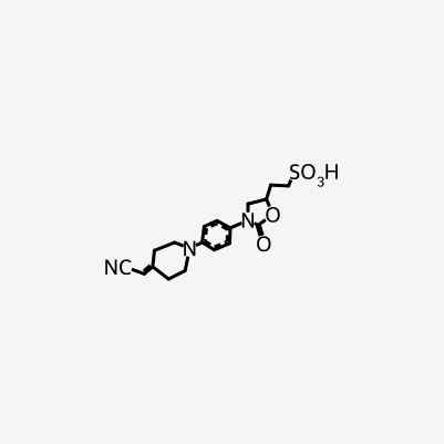 N#CC=C1CCN(c2ccc(N3CC(CCS(=O)(=O)O)OC3=O)cc2)CC1